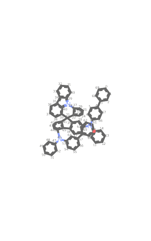 c1ccc(-c2ccc(N(c3ccccc3)c3ccc4c(c3)C3(c5ccccc5-n5c6ccccc6c6cccc3c65)c3cccc(N(c5ccccc5)c5cccc(-c6ccccc6)c5)c3-4)cc2)cc1